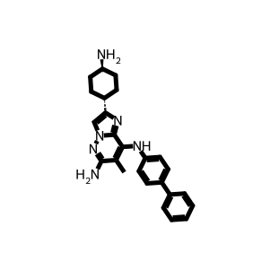 Cc1c(N)nn2cc([C@H]3CC[C@H](N)CC3)nc2c1Nc1ccc(-c2ccccc2)cc1